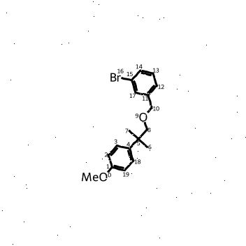 COc1ccc(C(C)(C)COCc2cccc(Br)c2)cc1